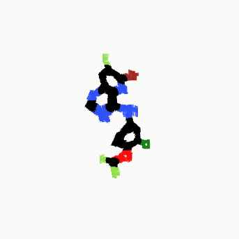 Fc1cc2ncnc(Nc3ccc(OC(F)F)c(Cl)c3)c2nc1Br